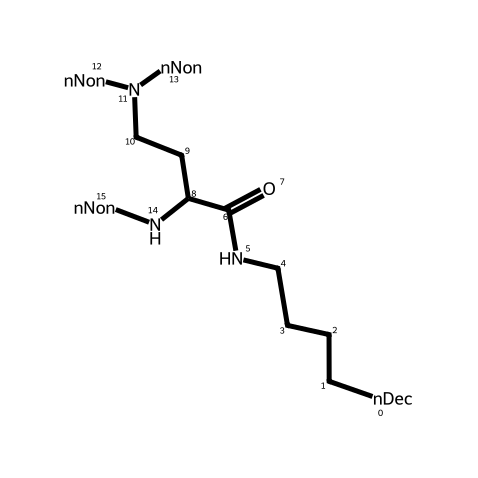 CCCCCCCCCCCCCCNC(=O)C(CCN(CCCCCCCCC)CCCCCCCCC)NCCCCCCCCC